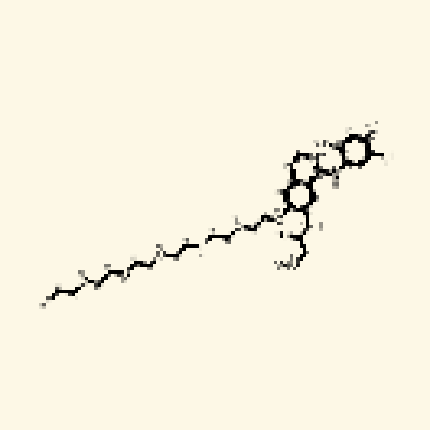 COCC(=O)Nc1cc2c(Nc3cc(Cl)c(Cl)cc3F)ncnc2cc1OCCOCCOCCOCCOCCOCCF